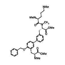 CNCCC[C@H](NC)C(=O)N(C)[C@@H](Cc1cccc(-c2ccc(OCc3ccccc3)c(C[C@H](NC)C(=O)OC)c2)c1)C(=O)OC